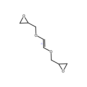 C(=C\OCC1CO1)/OCC1CO1